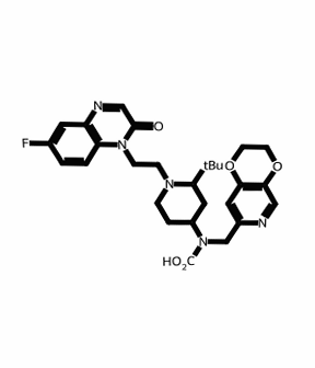 CC(C)(C)C1CC(N(Cc2cc3c(cn2)OCCO3)C(=O)O)CCN1CCn1c(=O)cnc2cc(F)ccc21